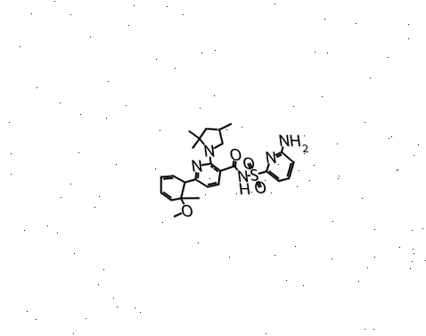 COC1(C)C=CC=CC1c1ccc(C(=O)NS(=O)(=O)c2cccc(N)n2)c(N2CC(C)CC2(C)C)n1